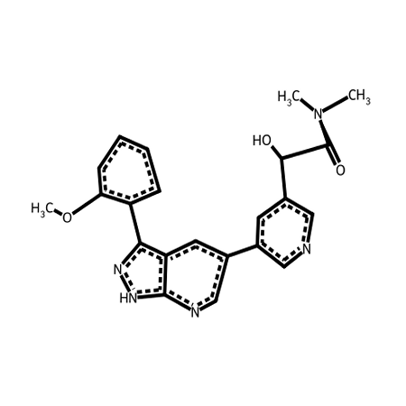 COc1ccccc1-c1n[nH]c2ncc(-c3cncc(C(O)C(=O)N(C)C)c3)cc12